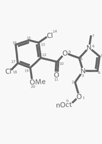 CCCCCCCCOCN1C=CN(C)C1OC(=O)c1c(Cl)ccc(Cl)c1OC